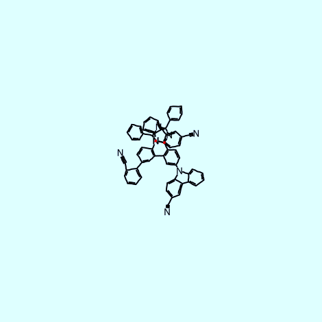 N#Cc1ccc2c(c1)c1ccccc1n2-c1ccc(-c2nc(-c3ccccc3)nc(-c3ccccc3)n2)c(-c2cc(-c3ccccc3C#N)ccc2-n2c3ccccc3c3cc(C#N)ccc32)c1